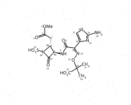 COC(=O)C[C@@H]1[C@@H](NC(=O)C(=NOC(C)(C)C(=O)O)c2csc(N)n2)C(=O)N1S(=O)(=O)O